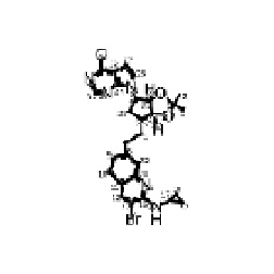 CC1(C)O[C@@H]2[C@@H](CCc3ccc4cc(Br)c(NC5CC5)nc4c3)C[C@@H](n3ccc4c(Cl)ncnc43)[C@@H]2O1